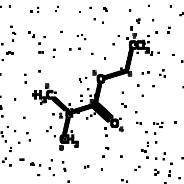 CN(C)C(=O)OCC(Cl)(Cl)Cl